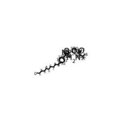 CCCCCCCCCCc1ccc(-c2noc([C@@H]3CCN(C(=O)[C@@H](N)C(C)C)C3)n2)cc1